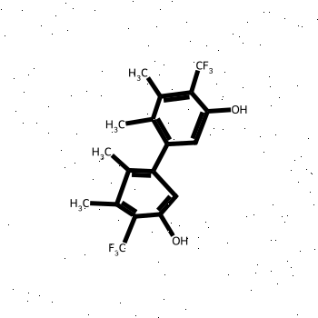 Cc1c(-c2cc(O)c(C(F)(F)F)c(C)c2C)cc(O)c(C(F)(F)F)c1C